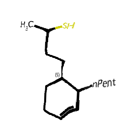 CCCCCC1C=CCC[C@H]1CCC(C)S